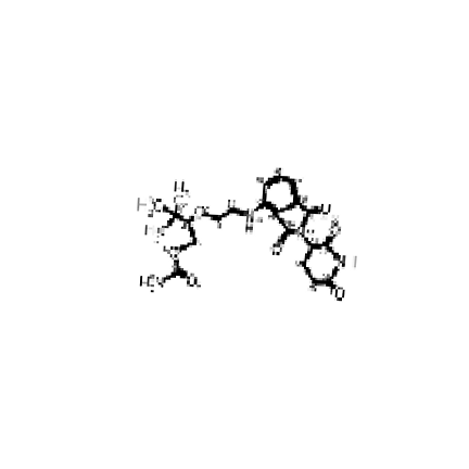 CC(C)(C)C(COC(N)=O)OCCNc1cccc2c1C(=O)N(C1CCC(=O)NC1=O)C2=O